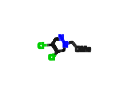 COCN1CC(Cl)=C(Cl)C=N1